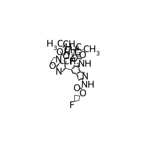 Cc1c(-c2cc3cc(NC(=O)O[C@H]4C[C@@H](F)C4)ncc3c(NC(=O)OC(C)(C)C)c2F)cnc2c1N(C(=O)OC(C)(C)C)CCO2